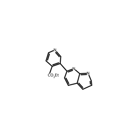 CCOC(=O)c1ccncc1-c1ccc2cccnc2n1